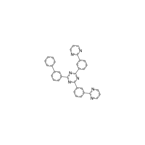 c1ccc(-c2cccc(-c3nc(-c4cccc(-c5ncccn5)c4)nc(-c4cccc(-c5ncccn5)c4)n3)c2)cc1